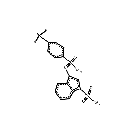 CS(=O)(=O)n1cc(N=S(N)(=O)c2ccc(C(F)(F)F)cc2)c2ccccc21